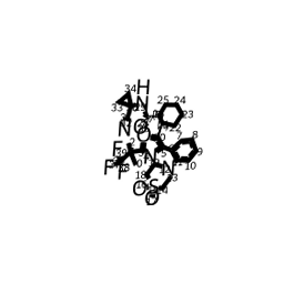 CC(C)(c1nc(-c2ccccc2N2CCS(=O)(=O)CC2)c([C@@H]2CCCC[C@H]2C(=O)NC2(C#N)CC2)o1)C(F)(F)F